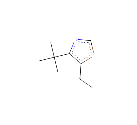 CCc1s[c]nc1C(C)(C)C